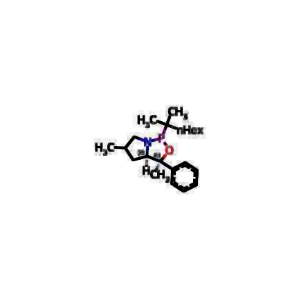 CCCCCCC(C)(C)P1O[C@@](C)(c2ccccc2)[C@H]2CC(C)CN21